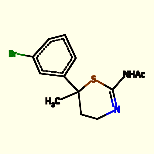 CC(=O)NC1=NCCC(C)(c2cccc(Br)c2)S1